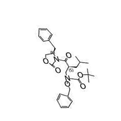 CC(C)C[C@@H](CN(OCc1ccccc1)C(=O)OC(C)(C)C)C(=O)N1C(=O)OC[C@H]1Cc1ccccc1